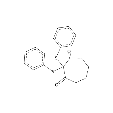 O=C1CCCCC(=O)C1(Sc1ccccc1)Sc1ccccc1